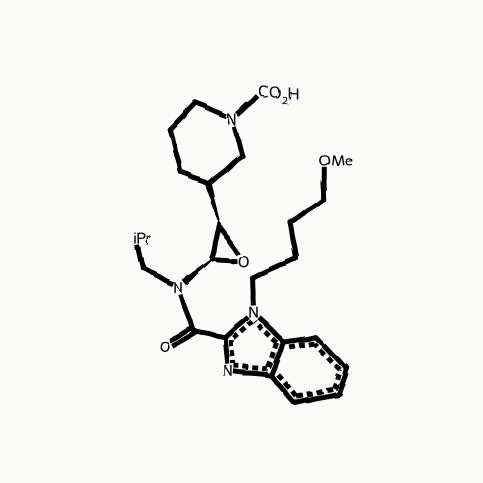 COCCCCn1c(C(=O)N(CC(C)C)[C@@H]2O[C@@H]2C2CCCN(C(=O)O)C2)nc2ccccc21